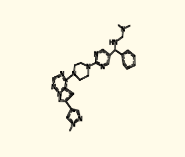 CN(C)CNC(c1ccccc1)c1cnc(N2CCN(c3ncnn4cc(-c5cnn(C)c5)cc34)CC2)nc1